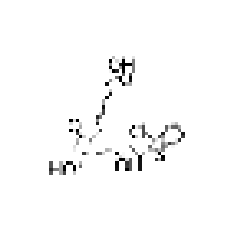 O=C(O)CCCC=CC[C@H]1C(=O)C[C@@H](CO)[C@@H]1C=CC(O)CCc1sc2ccccc2c1Cl